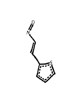 O=N/C=C/c1cccs1